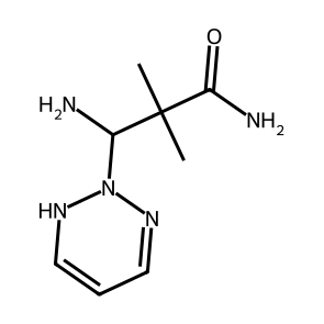 CC(C)(C(N)=O)C(N)N1N=CC=CN1